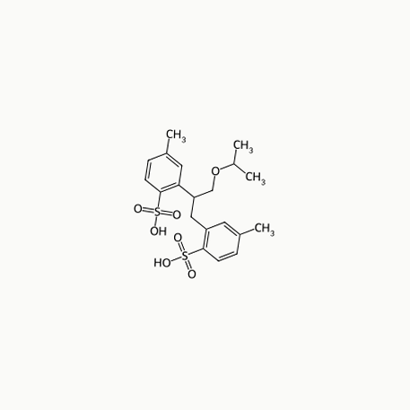 Cc1ccc(S(=O)(=O)O)c(CC(COC(C)C)c2cc(C)ccc2S(=O)(=O)O)c1